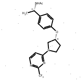 CC(=O)N[C@@H](C)c1ccc(O[C@@H]2CCN(c3ccnc(C(F)(F)F)n3)C2)cc1